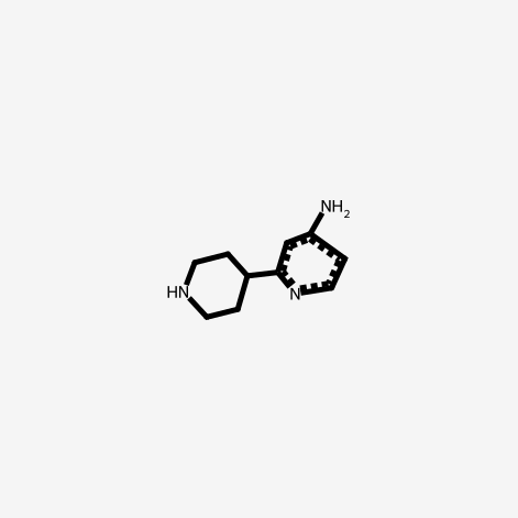 Nc1ccnc(C2CCNCC2)c1